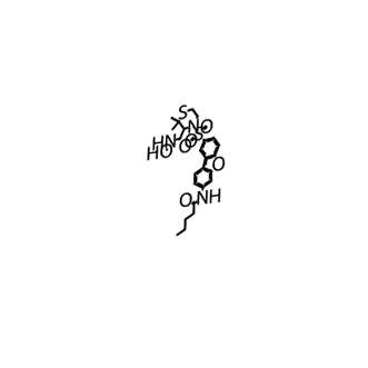 CCCCC(=O)Nc1ccc2c(c1)oc1ccc(S(=O)(=O)N3CCSC(C)(C)C3C(=O)NO)cc12